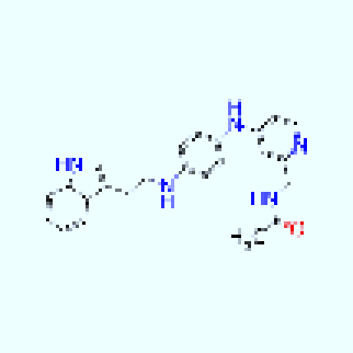 CC(=O)NCc1cc(Nc2ccc(NCCC3=CNC4C=CC=CC34)cc2)ccn1